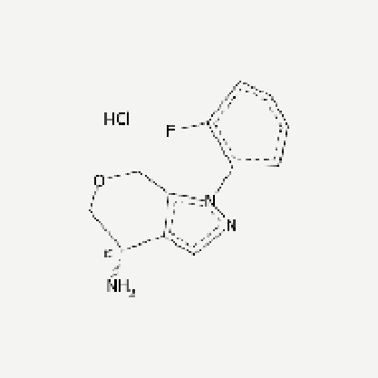 Cl.N[C@@H]1COCc2c1cnn2-c1ccccc1F